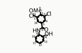 COc1c(Cl)cc(C(=O)Nc2ccccc2O)cc1Cl